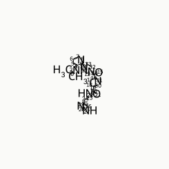 CC(C)Nc1cccnc1N1CCN(C(=O)c2ccc(C(=O)NCCc3c[nH]cn3)cn2)CC1